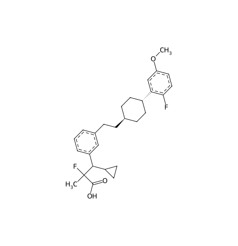 COc1ccc(F)c([C@H]2CC[C@H](CCc3cccc(C(C4CC4)C(C)(F)C(=O)O)c3)CC2)c1